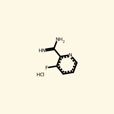 Cl.N=C(N)c1ncccc1F